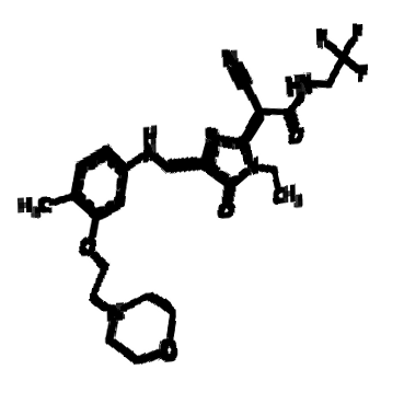 CCn1c(=C(C#N)C(=O)NCC(F)(F)F)sc(=CNc2ccc(C)c(OCCN3CCOCC3)c2)c1=O